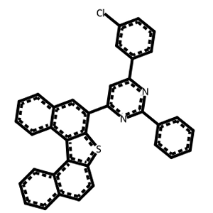 Clc1cccc(-c2cc(-c3cc4ccccc4c4c3sc3ccc5ccccc5c34)nc(-c3ccccc3)n2)c1